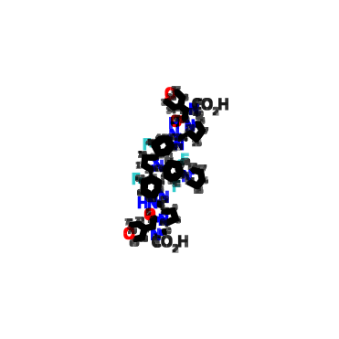 CN(C(=O)O)[C@H](C(=O)N1CCC[C@H]1c1nc2cc([C@H]3CC[C@H](c4cc5nc([C@@H]6CCCN6C(=O)[C@H](C6CCOCC6)N(C)C(=O)O)[nH]c5cc4F)N3c3cc(F)c(N4CCCCC4)c(F)c3)c(F)cc2[nH]1)C1CCOCC1